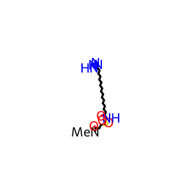 CNC(=O)CCCS(=O)(=O)NC(=O)CCCCCCCCCCCCCCCc1nnn[nH]1